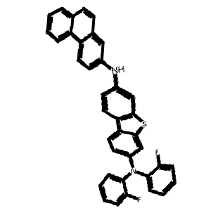 Fc1ccccc1N(c1ccc2c(c1)sc1cc(Nc3ccc4c(ccc5ccccc54)c3)ccc12)c1ccccc1F